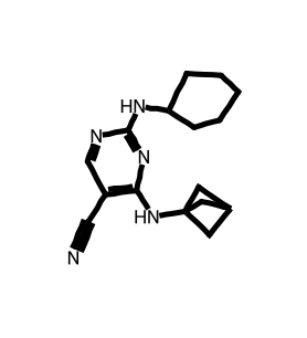 N#Cc1cnc(NC2CCCCC2)nc1NC12CC(C1)C2